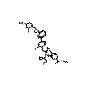 COC(=O)c1ccc2nc(Cc3ccc(-c4cccc(OCc5ccc(C#N)cc5F)n4)cc3F)n(C3(CF)CC3)c2c1